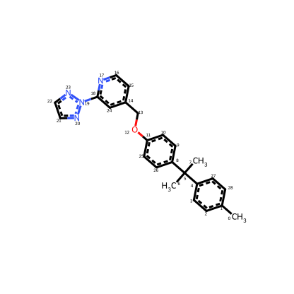 Cc1ccc(C(C)(C)c2ccc(OCc3ccnc(-n4nccn4)c3)cc2)cc1